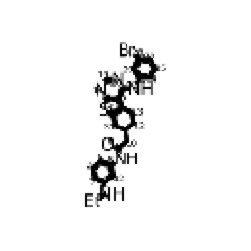 CCNc1cccc(NC(=O)CC2CCc3c(sc4ncnc(Nc5cccc(Br)c5)c34)C2)c1